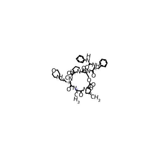 C/C1=N\C(=O)[C@H](CCCN2CCOCC2)N(C)C(=O)[C@@H]2CCCN2C(=O)[C@@H](NC(=O)[C@H](Cc2ccccc2)NC(=O)Nc2ccccc2)COC(=O)[C@@H]2C[C@@H](C)CN2C1=O